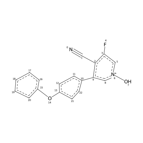 N#Cc1c(F)c[n+](O)cc1-c1ccc(Oc2ccccc2)cc1